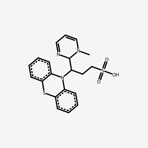 CN1C=CC=NC1C(CCS(=O)(=O)O)N1c2ccccc2Sc2ccccc21